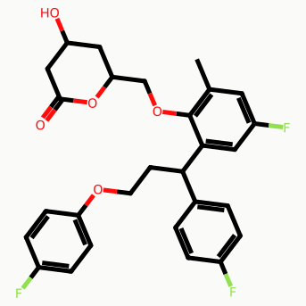 Cc1cc(F)cc(C(CCOc2ccc(F)cc2)c2ccc(F)cc2)c1OCC1CC(O)CC(=O)O1